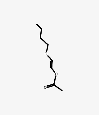 CCCCOC=COC(C)=O